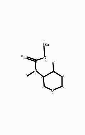 CC1CCOCC1N(C)C(=O)OC(C)(C)C